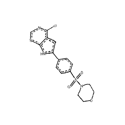 O=S(=O)(c1ccc(-c2cc3c(Cl)ncnc3[nH]2)cc1)N1CCOCC1